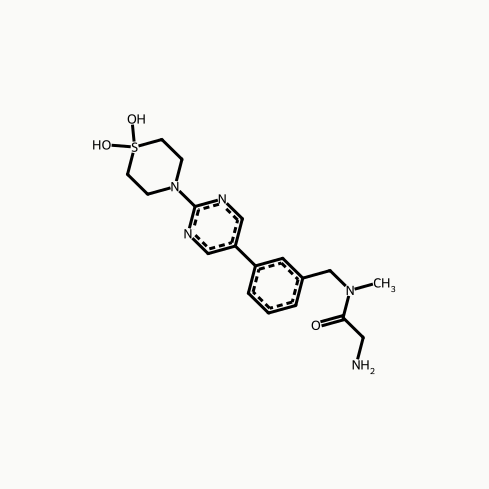 CN(Cc1cccc(-c2cnc(N3CCS(O)(O)CC3)nc2)c1)C(=O)CN